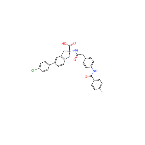 O=C(Cc1ccc(NC(=O)c2ccc(F)cc2)cc1)NC1(C(=O)O)Cc2ccc(-c3ccc(Cl)cc3)cc2C1